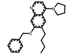 CCCCc1cc2c(N3CCCC3)ccnc2cc1OCc1ccccc1